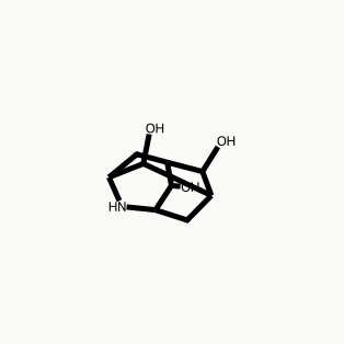 OC1C2CC3C(O)C(CC1C3O)N2